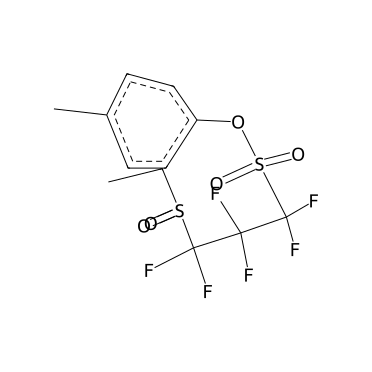 CCS(=O)(=O)C(F)(F)C(F)(F)C(F)(F)S(=O)(=O)Oc1ccc(C)cc1